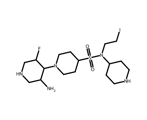 NC1CNCC(F)C1N1CCC(S(=O)(=O)N(CCI)C2CCNCC2)CC1